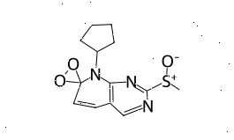 C[S+]([O-])c1ncc2c(n1)N(C1CCCC1)C1(C=C2)OO1